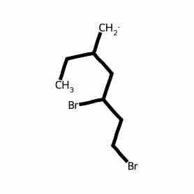 [CH2]C(CC)CC(Br)CCBr